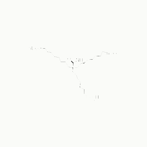 CCCCCCCCCCCCCCCCCCC(CCCCCCCCCCCCCCCCCC)(CCCCCCCC(=O)O)C(N)=O